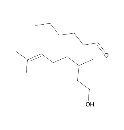 CC(C)=CCCC(C)CCO.CCCCCC=O